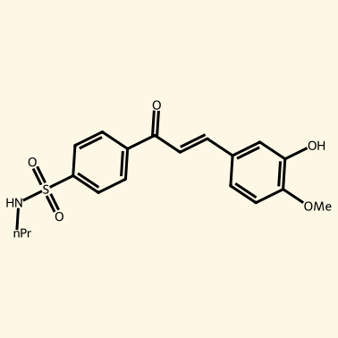 CCCNS(=O)(=O)c1ccc(C(=O)/C=C/c2ccc(OC)c(O)c2)cc1